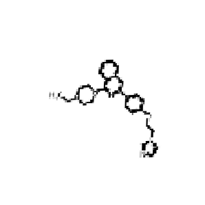 CCN1CCN(c2nc(-c3ccc(OCCn4ccnc4)cc3)cc3ccccc23)CC1